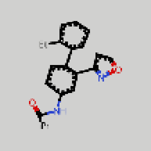 CCc1ccccc1-c1ccc(NC(=O)C(C)C)cc1-c1ccon1